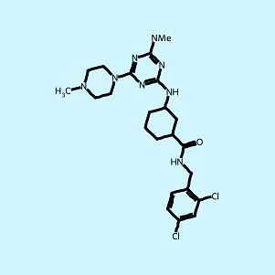 CNc1nc(NC2CCCC(C(=O)NCc3ccc(Cl)cc3Cl)C2)nc(N2CCN(C)CC2)n1